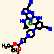 CC(C)OC(=O)N1CC(N2CCN(c3cc(C#N)cc(Nc4nc(NC5CC5)c5ncc(C#N)n5n4)c3Cl)CC2)C1